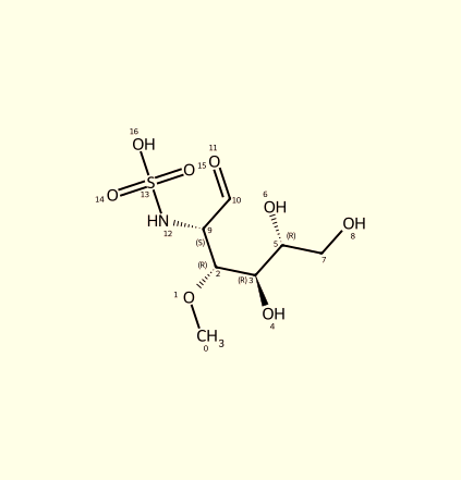 CO[C@@H]([C@H](O)[C@H](O)CO)[C@@H](C=O)NS(=O)(=O)O